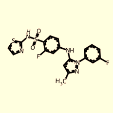 Cc1cc(Nc2ccc(S(=O)(=O)Nc3nccs3)c(F)c2)n(-c2cccc(F)c2)n1